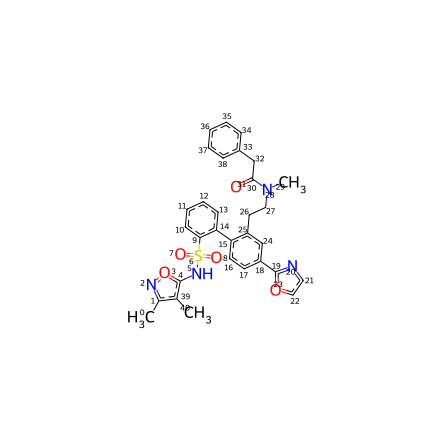 Cc1noc(NS(=O)(=O)c2ccccc2-c2ccc(-c3ncco3)cc2CCN(C)C(=O)Cc2ccccc2)c1C